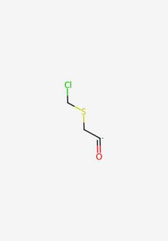 O=[C]CSCCl